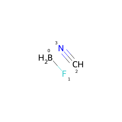 BF.C#N